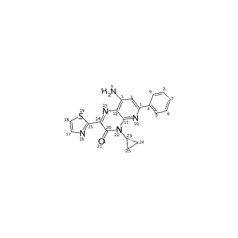 Nc1cc(-c2ccccc2)nc2c1nc(-c1nccs1)c(=O)n2C1CC1